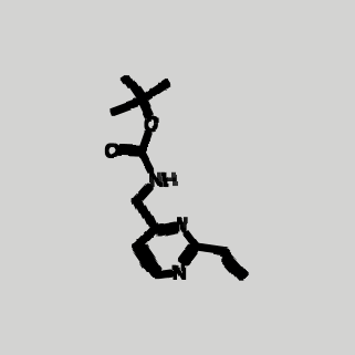 C=Cc1nccc(CNC(=O)OC(C)(C)C)n1